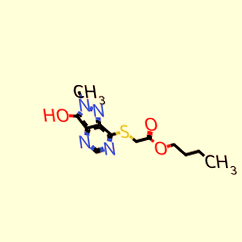 CCCCOC(=O)CSc1ncnc2c(O)n(C)nc12